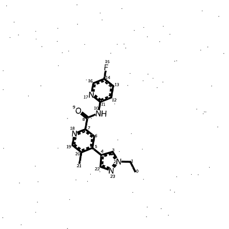 CCn1cc(-c2cc(C(=O)Nc3ccc(F)cn3)ncc2C)cn1